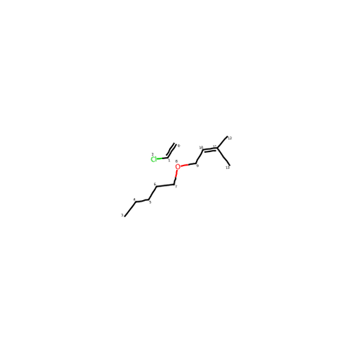 C=CCl.CCCCCOCC=C(C)C